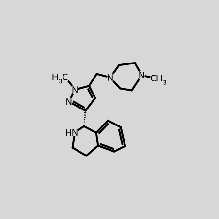 CN1CCN(Cc2cc([C@H]3NCCc4ccccc43)nn2C)CC1